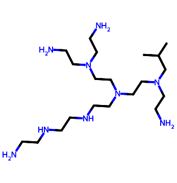 CC(C)CN(CCN)CCN(CCNCCNCCN)CCN(CCN)CCN